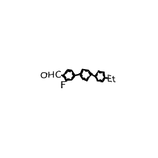 CCc1ccc(-c2ccc(-c3ccc(C=O)c(F)c3)cc2)cc1